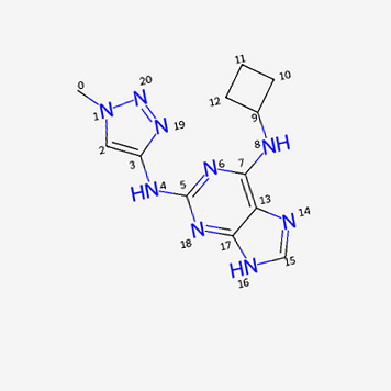 Cn1cc(Nc2nc(NC3CCC3)c3nc[nH]c3n2)nn1